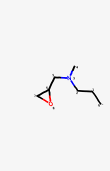 [CH2]CCN(C)CC1CO1